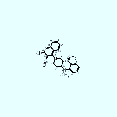 C=Cc1ccccc1N(C)C1CCN(C2=c3ccccc3=NC(Cl)C2=C=O)CC1